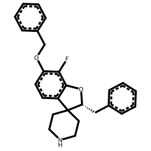 Fc1c(OCc2ccccc2)ccc2c1O[C@H](Cc1ccccc1)C21CCNCC1